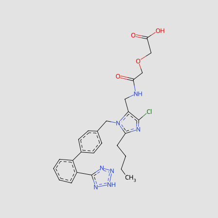 CCCCc1nc(Cl)c(CNC(=O)COCC(=O)O)n1Cc1ccc(-c2ccccc2-c2nn[nH]n2)cc1